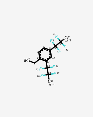 [CH2]C(C)Cc1ccc(C(F)(F)C(F)(F)C(F)(F)F)cc1C(F)(F)C(F)(F)C(F)(F)F